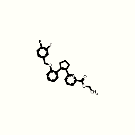 CCOC(=O)c1cccc(C2=C(c3ccccc3OCc3ccc(F)c(F)c3)CCC2)n1